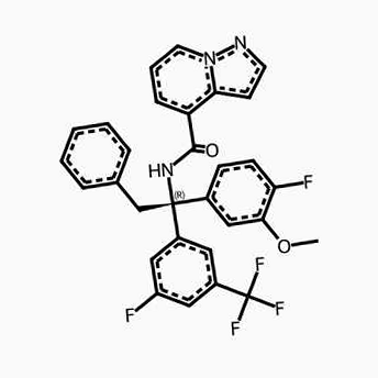 COc1cc([C@@](Cc2ccccc2)(NC(=O)c2cccn3nccc23)c2cc(F)cc(C(F)(F)F)c2)ccc1F